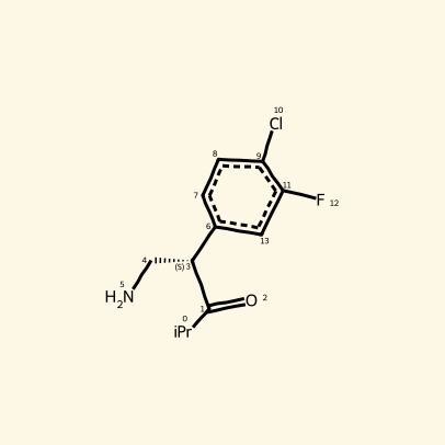 CC(C)C(=O)[C@H](CN)c1ccc(Cl)c(F)c1